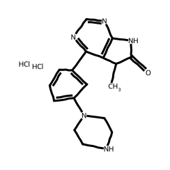 CC1C(=O)Nc2ncnc(-c3cccc(N4CCNCC4)c3)c21.Cl.Cl